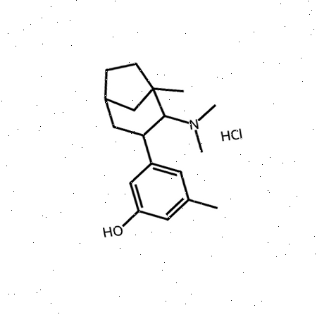 Cc1cc(O)cc(C2CC3CCC(C)(C3)C2N(C)C)c1.Cl